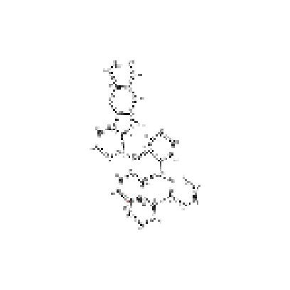 c1ccc(-c2ccccc2-c2c3ccccc3c(-c3cccc4c3oc3cc5ccccc5cc34)c3ccccc23)cc1